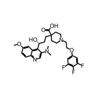 COc1ccc2ncc(N(C)C)c([C@H](O)CCC3(C(=O)O)CCN(CCOc4cc(F)c(F)c(F)c4)CC3)c2c1